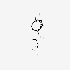 Cc1ccc(NC(=O)CN(C)C(C)C)cc1